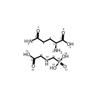 NC(=O)CC[C@H](N)C(=O)O.O=C(O)CNCP(=O)(O)O